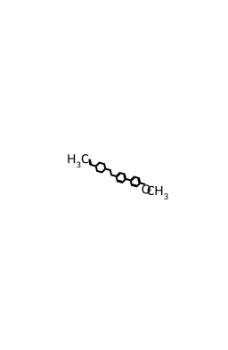 CC=CC1CCC(CCc2ccc(-c3ccc(COC)cc3)cc2)CC1